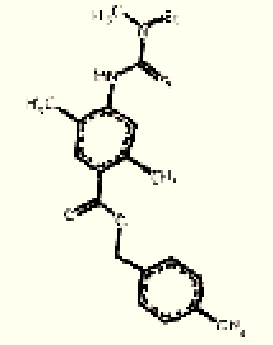 CCN(C)C(=S)Nc1cc(C)c(C(=O)OCc2ccc(C)cc2)cc1C